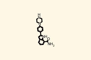 NC(=O)c1cccc2cc(-c3ccc(N4CCNCC4)cc3)[nH]c12